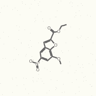 CCOC(=O)c1cc2cc([N+](=O)[O-])cc(OC)c2o1